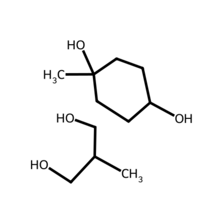 CC(CO)CO.CC1(O)CCC(O)CC1